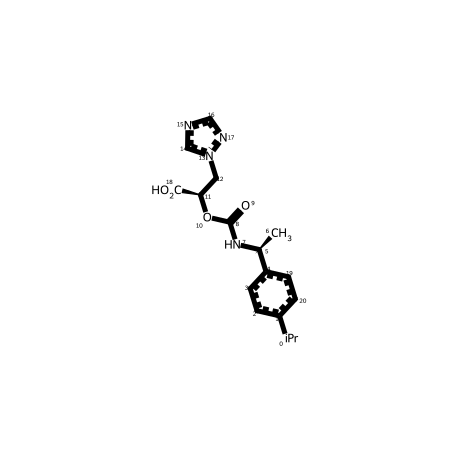 CC(C)c1ccc([C@H](C)NC(=O)O[C@H](Cn2cncn2)C(=O)O)cc1